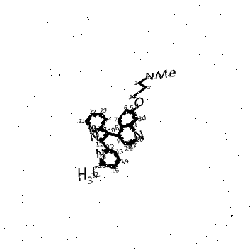 CNCCCOc1ccc2c(-c3c(-c4cccc(C)n4)nn4ccccc34)ccnc2c1